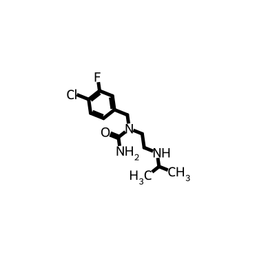 CC(C)NCCN(Cc1ccc(Cl)c(F)c1)C(N)=O